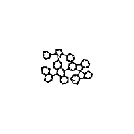 c1ccc(-c2ccc(-c3ccccc3)n2-c2ccc3c(-c4cccc5ccccc45)c4ccccc4c(-c4ccc5c(c4)C4(c6ccccc6-c6ccccc64)c4ccccc4-5)c3c2)cc1